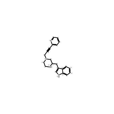 C(#Cc1ccccn1)CN1CCNC(Cc2c[nH]c3ccccc23)C1